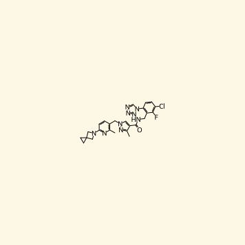 Cc1nc(N2CC3(CC3)C2)ccc1Cn1cc(C(=O)NCc2c(-n3cnnn3)ccc(Cl)c2F)c(C)n1